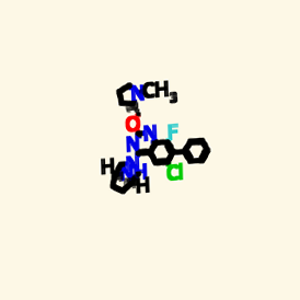 CN1CCC[C@H]1COc1nc(N2C[C@@H]3CC[C@@H](C2)N3)c2cc(Cl)c(-c3ccccc3)c(F)c2n1